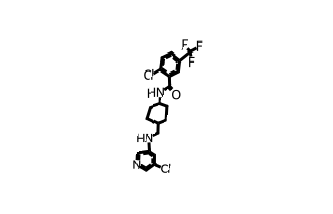 O=C(NC1CCC(CNc2cncc(Cl)c2)CC1)c1cc(C(F)(F)F)ccc1Cl